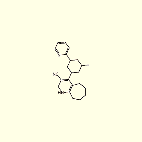 CC1CC(C2=C(C#N)CNC3=C2CCCCC3)CC(c2ccccn2)C1